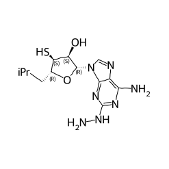 CC(C)C[C@H]1O[C@@H](n2cnc3c(N)nc(NN)nc32)[C@H](O)[C@@H]1S